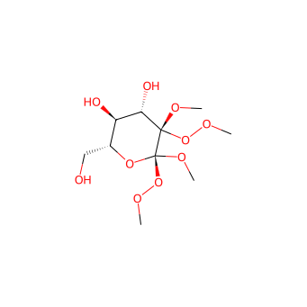 COO[C@@]1(OC)O[C@H](CO)[C@@H](O)[C@H](O)[C@]1(OC)OOC